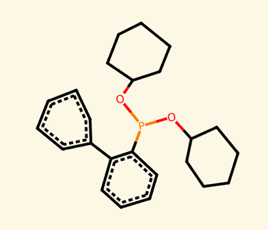 c1ccc(-c2ccccc2P(OC2CCCCC2)OC2CCCCC2)cc1